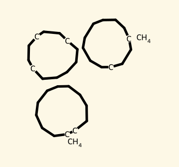 C.C.C1CCCCCCCCCCC1.C1CCCCCCCCCCC1.C1CCCCCCCCCCC1